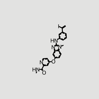 C=C(I)c1cccc(Nc2nc3cc(Oc4ccnc(C(=O)NC)c4)ccc3n2C)c1